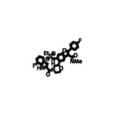 CCS(=O)(=O)Nc1cc2oc(-c3ccc(F)cc3)c(C(=O)NC)c2cc1C1CN(C(=O)c2cc3cccc(F)c3[nH]2)CCO1